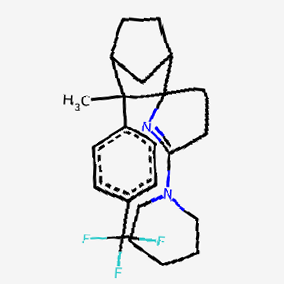 CC1(c2ccc(C(F)(F)F)cc2)C2CCC(C2)C12CCC(N1CCCCC1)=N2